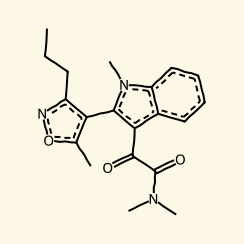 CCCc1noc(C)c1-c1c(C(=O)C(=O)N(C)C)c2ccccc2n1C